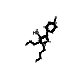 CCCCn1nc(-c2ccc(C)cc2)c(O)c1CCC